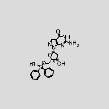 CC(C)(C)[Si](OC[C@H]1O[C@@H](n2ncc3c(=O)[nH]c(N)nc32)C[C@H]1O)(c1ccccc1)c1ccccc1